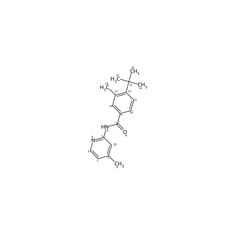 Cc1ccnc(NC(=O)c2ccc(C(C)(C)C)c(C)c2)c1